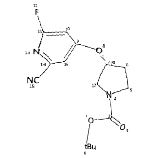 CC(C)(C)OC(=O)N1CC[C@@H](Oc2cc(F)nc(C#N)c2)C1